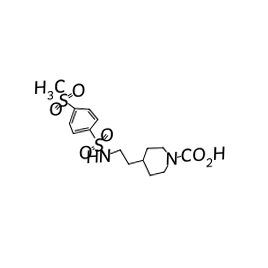 CS(=O)(=O)c1ccc(S(=O)(=O)NCCC2CCN(C(=O)O)CC2)cc1